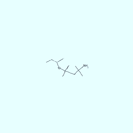 CCC(C)OC(C)(C)CC(C)(C)N